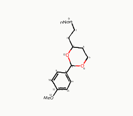 CCCCCCCCCCCC1CCOC(c2ccc(OC)cc2)O1